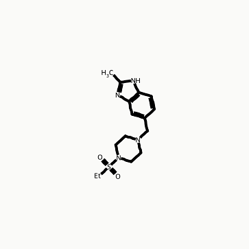 CCS(=O)(=O)N1CCN(Cc2ccc3[nH]c(C)nc3c2)CC1